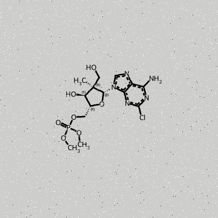 COP(=O)(OC)OC[C@H]1O[C@@H](n2cnc3c(N)nc(Cl)nc32)[C@](C)(CO)[C@@H]1O